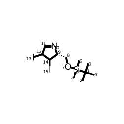 CC(C)(C)[Si](C)(C)OC[C@H]1N=CC(I)C1I